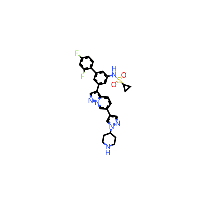 O=S(=O)(Nc1cc(-c2ccc(F)cc2F)cc(-c2cnn3cc(-c4cnn(C5CCNCC5)c4)ccc23)c1)C1CC1